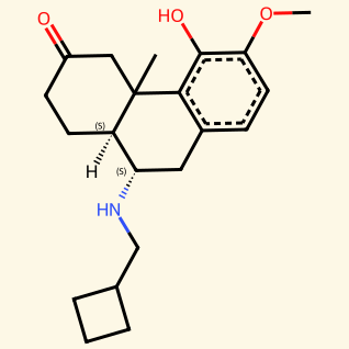 COc1ccc2c(c1O)C1(C)CC(=O)CC[C@@H]1[C@@H](NCC1CCC1)C2